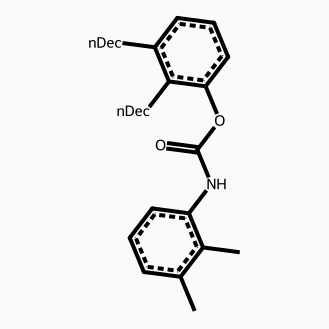 CCCCCCCCCCc1cccc(OC(=O)Nc2cccc(C)c2C)c1CCCCCCCCCC